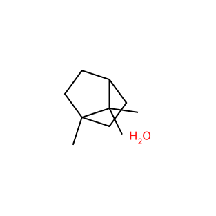 CC12CCC(CC1)C2(C)C.O